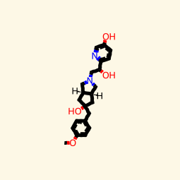 COc1ccc(CC2(O)C[C@H]3CN(CC(O)c4ccc(O)cn4)C[C@H]3C2)cc1